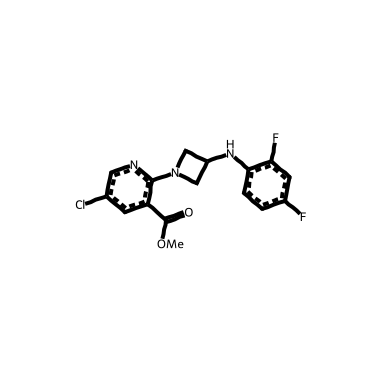 COC(=O)c1cc(Cl)cnc1N1CC(Nc2ccc(F)cc2F)C1